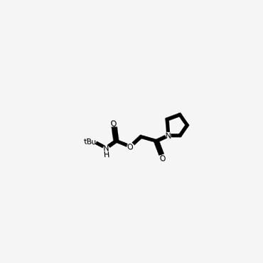 CC(C)(C)NC(=O)OCC(=O)N1CCCC1